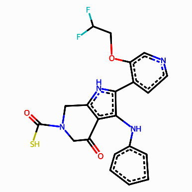 O=C1CN(C(=O)S)Cc2[nH]c(-c3ccncc3OCC(F)F)c(Nc3ccccc3)c21